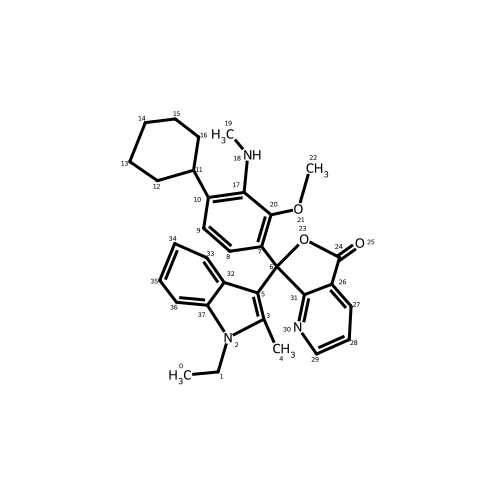 CCn1c(C)c(C2(c3ccc(C4CCCCC4)c(NC)c3OC)OC(=O)c3cccnc32)c2ccccc21